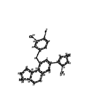 Fc1ccc(Cc2cc(-c3c[nH]nc3C(F)(F)F)nc3ccc4[nH]ncc4c23)cc1Cl